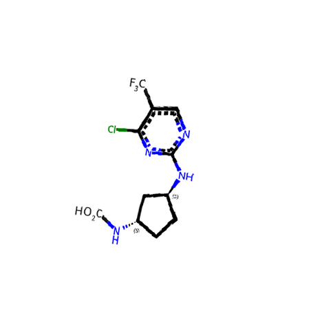 O=C(O)N[C@H]1CC[C@H](Nc2ncc(C(F)(F)F)c(Cl)n2)C1